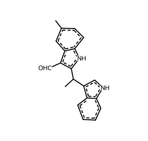 Cc1ccc2[nH]c(C(C)c3c[nH]c4ccccc34)c(C=O)c2c1